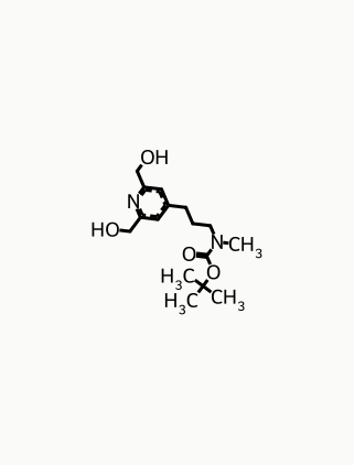 CN(CCCc1cc(CO)nc(CO)c1)C(=O)OC(C)(C)C